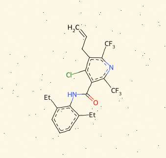 C=CCc1c(C(F)(F)F)nc(C(F)(F)F)c(C(=O)Nc2c(CC)cccc2CC)c1Cl